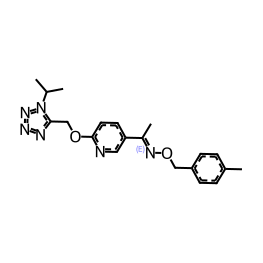 C/C(=N\OCc1ccc(C)cc1)c1ccc(OCc2nnnn2C(C)C)nc1